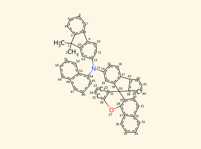 CC1(C)c2ccccc2-c2ccc(N(c3ccc4c(c3)C3(c5ccccc5Oc5c3ccc3ccccc53)c3ccccc3-4)c3cccc4ccccc34)cc21